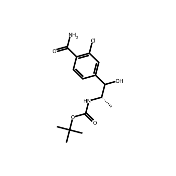 C[C@H](NC(=O)OC(C)(C)C)C(O)c1ccc(C(N)=O)c(Cl)c1